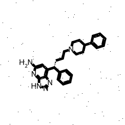 Nc1cc([C@H](CCCN2CCC(c3ccccc3)CC2)c2ccccc2)c2nn[nH]c2n1